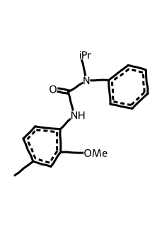 COc1cc(C)ccc1NC(=O)N(c1ccccc1)C(C)C